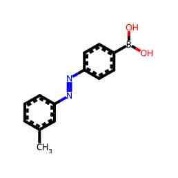 Cc1cccc(/N=N/c2ccc(B(O)O)cc2)c1